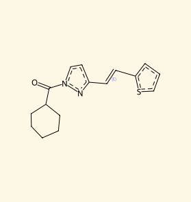 O=C(C1CCCCC1)n1ccc(/C=C/c2cccs2)n1